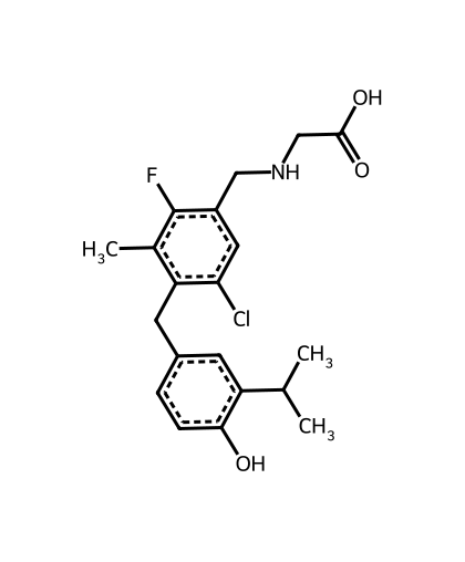 Cc1c(F)c(CNCC(=O)O)cc(Cl)c1Cc1ccc(O)c(C(C)C)c1